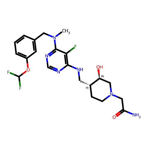 CN(Cc1cccc(OC(F)F)c1)c1ncnc(NC[C@H]2CCN(CC(N)=O)C[C@@H]2O)c1F